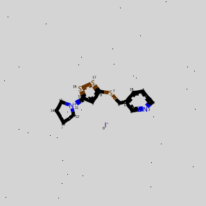 [I-].c1cncc(CSc2cc(=[N+]3CCCC3)ss2)c1